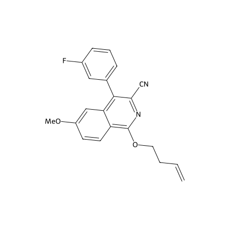 C=CCCOc1nc(C#N)c(-c2cccc(F)c2)c2cc(OC)ccc12